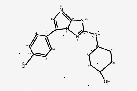 OC1CCC(Nc2nn3c(-c4ccc(Cl)cc4)cnc3s2)CC1